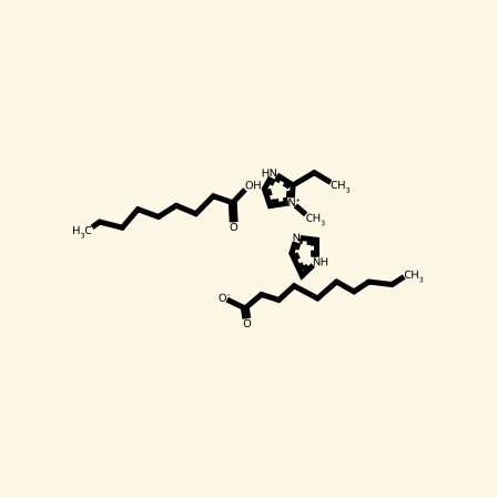 CCCCCCCCC(=O)O.CCCCCCCCCC(=O)[O-].CCc1[nH]cc[n+]1C.c1c[nH]cn1